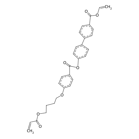 C=COC(=O)c1ccc(-c2ccc(OC(=O)c3ccc(OCCCCOC(=O)C=C)cc3)cc2)cc1